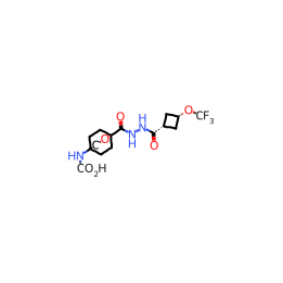 O=C(O)NC12CCC(C(=O)NNC(=O)[C@H]3C[C@@H](OC(F)(F)F)C3)(CC1)OC2